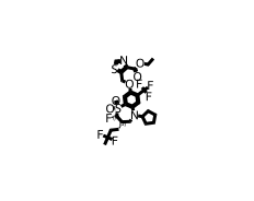 CCOC(=O)c1ncsc1COc1cc2c(cc1C(F)(F)F)N(C1CCCC1)C[C@H](CCC(C)(F)F)[C@H](F)S2(=O)=O